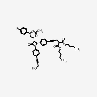 CCCCOC(=O)C(CC#Cc1ccc([C@@H]2[C@@H](CC[C@H](OC(C)=O)c3ccc(F)cc3)C(=O)N2c2ccc(C#CCO)cc2)cc1)C(=O)OCCCC